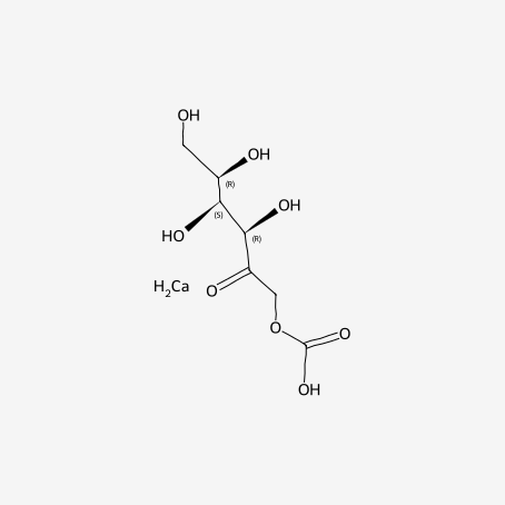 O=C(O)OCC(=O)[C@H](O)[C@@H](O)[C@H](O)CO.[CaH2]